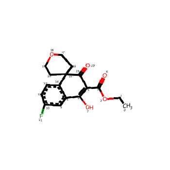 CCOC(=O)C1=C(O)c2cc(F)ccc2C2(CCOCC2)C1=O